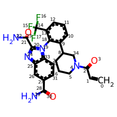 C=CC(=O)N1CCCC(c2cccc(C(F)(F)F)c2-n2c(C(N)=O)nc3cc(C(N)=O)ccc32)C1